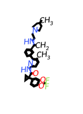 C=C(NCCN1CCC(C)CC1)c1cccc(-c2nc(NC(=O)C3(c4ccc5c(c4)OC(F)(F)O5)CC3)ccc2C)c1